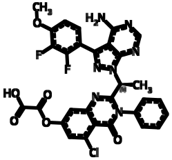 COc1ccc(-c2nn([C@@H](C)c3nc4cc(OC(=O)C(=O)O)cc(Cl)c4c(=O)n3-c3ccccc3)c3ncnc(N)c23)c(F)c1F